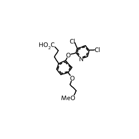 COCCOc1ccc(CCC(=O)O)c(Oc2ncc(Cl)cc2Cl)c1